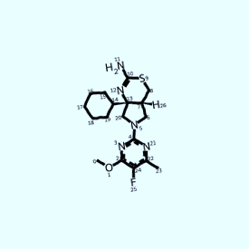 COc1nc(N2C[C@H]3CSC(N)=N[C@@]3(C3CCCCC3)C2)nc(C)c1F